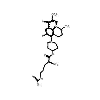 C[C@H]1CCc2c(N3CCC(OC(=O)C(N)CCCNC(=N)N)CC3)c(F)cc3c(=O)c(C(=O)O)cn1c23